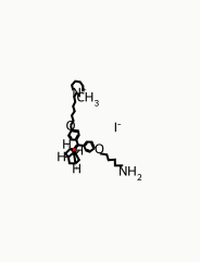 C[N+]1(CCCCCCOc2ccc(C(c3ccc(OCCCCCCN)cc3)=C3[C@H]4C[C@@H]5C[C@@H](C[C@H]3C5)C4)cc2)CCCCCC1.[I-]